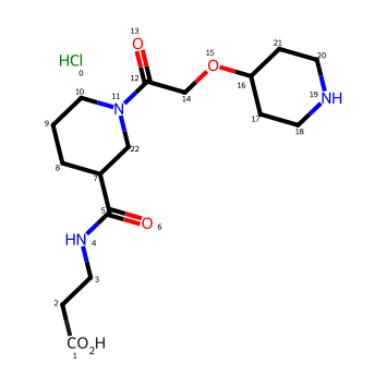 Cl.O=C(O)CCNC(=O)C1CCCN(C(=O)COC2CCNCC2)C1